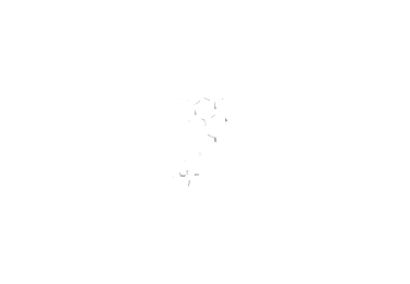 O=C(OCCS(=O)(=O)O)c1cc(F)ccc1Br